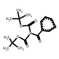 CC(C)(C)OC(=O)N(C(=O)OC(C)(C)C)C(=O)c1ccccc1